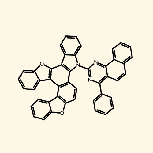 c1ccc(-c2nc(-n3c4ccccc4c4c5oc6ccccc6c5c5c(ccc6oc7ccccc7c65)c43)nc3c2ccc2ccccc23)cc1